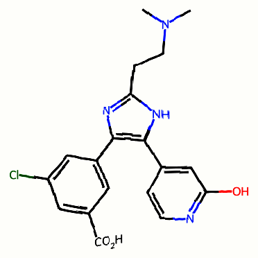 CN(C)CCc1nc(-c2cc(Cl)cc(C(=O)O)c2)c(-c2ccnc(O)c2)[nH]1